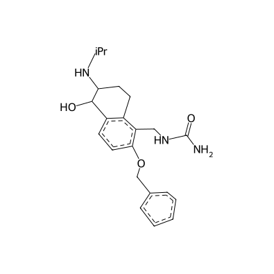 CC(C)NC1CCc2c(ccc(OCc3ccccc3)c2CNC(N)=O)C1O